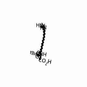 CC(C)(C)OC(=O)C(CCC(=O)O)NC(=O)CCCCCCCCCCCCCCCc1nn[nH]n1